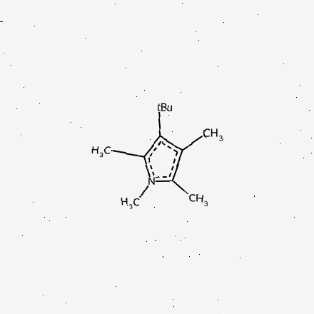 Cc1c(C(C)(C)C)c(C)n(C)c1C